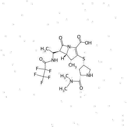 CC(NC(=O)C(F)(F)C(F)(F)F)[C@H]1C(=O)N2C(C(=O)O)=C(S[C@@H]3CN[C@H](C(=O)N(C)C)C3)[C@H](C)[C@H]12